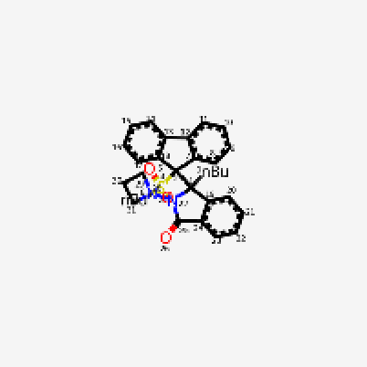 CCCCC1(C2(S(=O)(=O)CCCC)c3ccccc3-c3ccccc32)c2ccccc2C(=O)N1N1CCC1